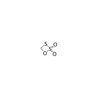 O=S1(=O)OCS1